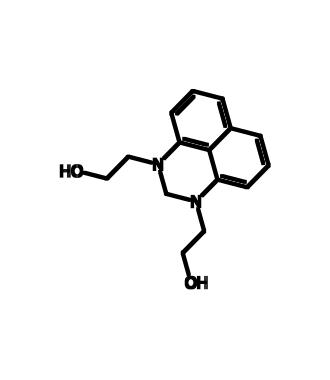 OCCN1CN(CCO)c2cccc3cccc1c23